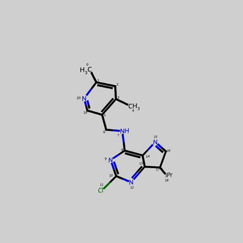 Cc1cc(C)c(CNc2nc(Cl)nc3c2N=CC3C(C)C)cn1